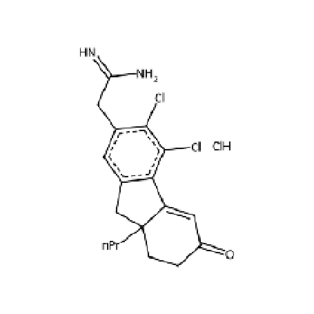 CCCC12CCC(=O)C=C1c1c(cc(CC(=N)N)c(Cl)c1Cl)C2.Cl